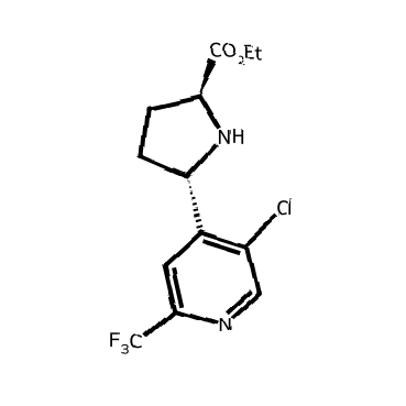 CCOC(=O)[C@@H]1CC[C@@H](c2cc(C(F)(F)F)ncc2Cl)N1